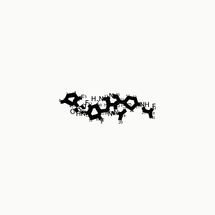 Cc1ccc(F)c(S(=O)(=O)Nc2cc(F)c(-c3nn(C(C)C)c4c(C5CCC(NCC(C)F)CC5)cnc(N)c34)cc2F)c1